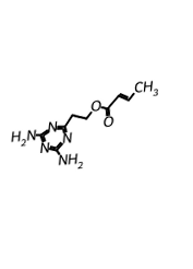 CC=CC(=O)OCCc1nc(N)nc(N)n1